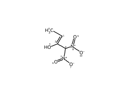 C/[C]=C(\O)C([N+](=O)[O-])[N+](=O)[O-]